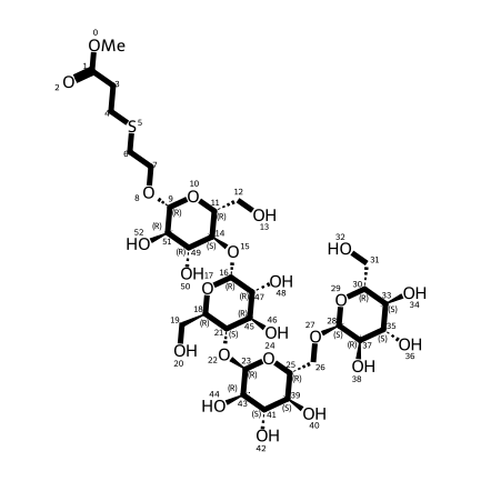 COC(=O)CCSCCO[C@@H]1O[C@H](CO)[C@@H](O[C@H]2O[C@H](CO)[C@@H](O[C@H]3O[C@H](CO[C@H]4O[C@H](CO)[C@@H](O)[C@H](O)[C@H]4O)[C@@H](O)[C@H](O)[C@H]3O)[C@H](O)[C@H]2O)[C@H](O)[C@H]1O